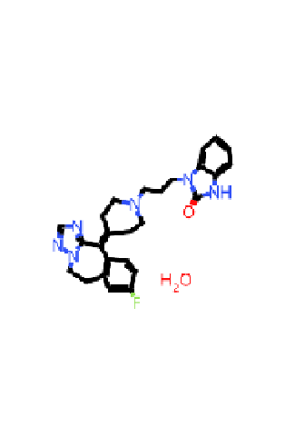 O.O=c1[nH]c2ccccc2n1CCCN1CCC(=C2c3ccc(F)cc3CCn3ncnc32)CC1